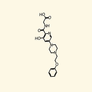 O=C(O)CNC(=O)c1ncc(N2CCN(CCOc3ccccc3)CC2)cc1O